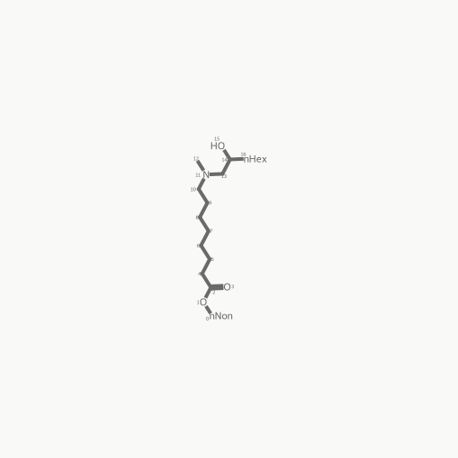 CCCCCCCCCOC(=O)CCCCCCCN(C)CC(O)CCCCCC